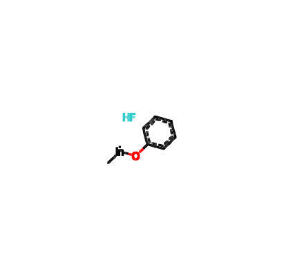 F.[CH3][In][O]c1ccccc1